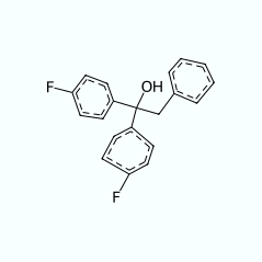 OC(Cc1ccccc1)(c1ccc(F)cc1)c1ccc(F)cc1